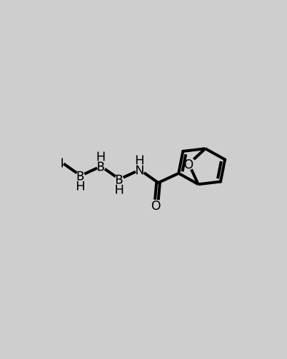 O=C(NBBBI)C1=CC2C=CC1O2